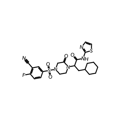 N#Cc1cc(S(=O)(=O)N2CCN(C(CC3CCCCC3)C(=O)Nc3nccs3)C(=O)C2)ccc1F